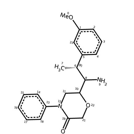 COc1cccc([C@@H](C)C(N)C2CN(c3ccccc3)C(=O)CO2)c1